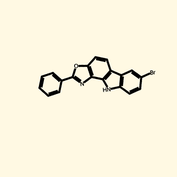 Brc1ccc2[nH]c3c(ccc4oc(-c5ccccc5)nc43)c2c1